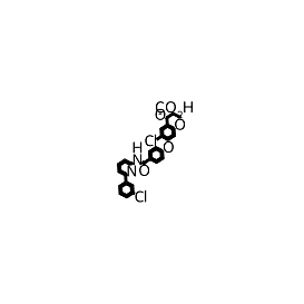 O=C(O)OC1CCOc2cc(Oc3ccc(C(=O)Nc4cccc(-c5cccc(Cl)c5)n4)cc3)c(Cl)cc21